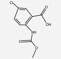 COC(=O)Nc1ccc(Cl)cc1C(=O)O